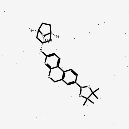 CC1(C)OB(c2ccc3c(c2)COc2nc(O[C@@H]4C[C@H]5CC[C@@H](C4)N5C(=O)O)ccc2-3)OC1(C)C